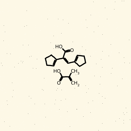 C=C(C)C(=O)O.O=C(O)C(=CC1=CCCC1)C1=CCCC1